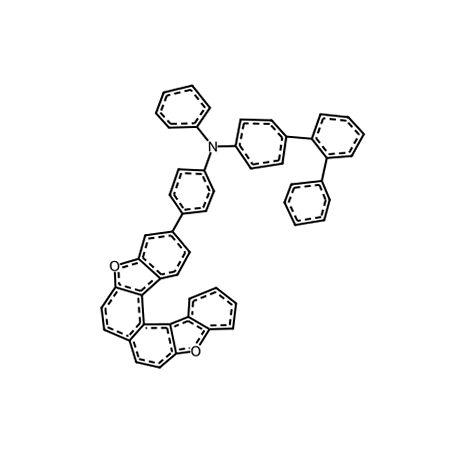 c1ccc(-c2ccccc2-c2ccc(N(c3ccccc3)c3ccc(-c4ccc5c(c4)oc4ccc6ccc7oc8ccccc8c7c6c45)cc3)cc2)cc1